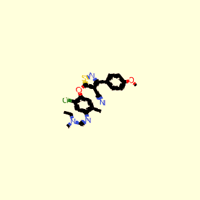 CCN(C)/C=N\c1cc(Cl)c(Oc2snc(-c3ccc(OC)cc3)c2C#N)cc1C